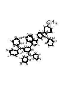 CC1C=Cc2c(c3ccc(-c4ccc(-c5cc(N(c6ccccc6)c6ccccc6)cc(N(c6ccccc6)c6ccccc6)c5)c5ccccc45)cc3n2C2=CCCC=C2)C1